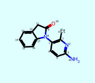 CCc1nc(N)ccc1N1C(=O)Cc2ccccc21